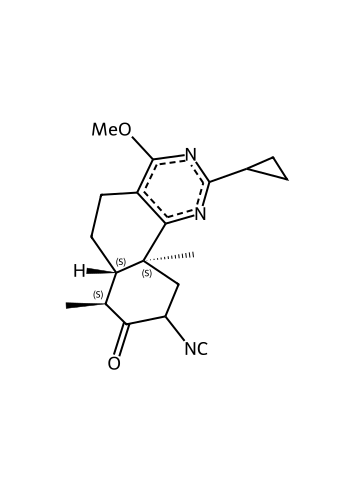 [C-]#[N+]C1C[C@]2(C)c3nc(C4CC4)nc(OC)c3CC[C@H]2[C@H](C)C1=O